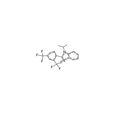 CC(C)n1c(-c2ccc(C(F)(F)F)cc2C(F)(F)F)nc2ccccc21